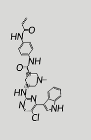 C=CC(=O)Nc1ccc(NC(=O)[C@@H]2C[C@@H](Nc3ncc(Cl)c(-c4c[nH]c5ccccc45)n3)CN(C)C2)cc1